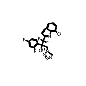 OC(Cn1cnnn1)(c1ccc(F)cc1F)C(F)(F)c1ccc2cccc(Cl)c2n1